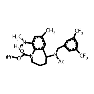 CC(=O)N(Cc1cc(C(F)(F)F)cc(C(F)(F)F)c1)C1CCCN(C(=O)OC(C)C)c2c1cc(C)cc2N(C)C